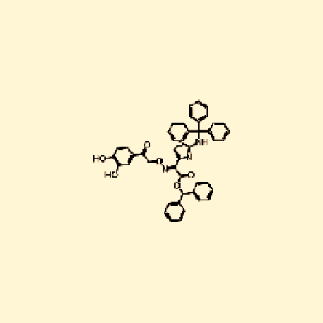 O=C(OC(c1ccccc1)c1ccccc1)C(=NOCC(=O)c1ccc(O)c(O)c1)c1csc(NC(c2ccccc2)(c2ccccc2)c2ccccc2)n1